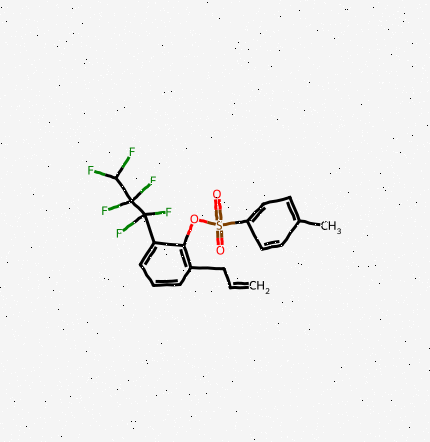 C=CCc1cccc(C(F)(F)C(F)(F)C(F)F)c1OS(=O)(=O)c1ccc(C)cc1